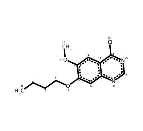 CCCCOc1cc2ncnc(Cl)c2cc1OC